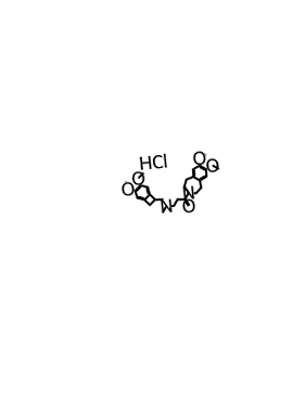 COc1cc2c(cc1OC)CCN(C(=O)CCN(C)CC1Cc3cc(OC)c(OC)cc31)CC2.Cl